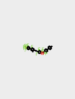 Cc1ccc(-c2cc(F)c(C(F)(F)Oc3cc(F)c(C#Cc4cc(F)c(-c5cc(F)c(S(F)(F)(F)(F)F)c(F)c5)cc4C)c(F)c3)c(F)c2)cc1